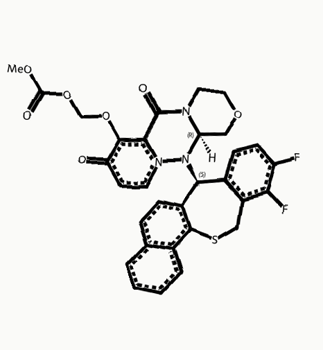 COC(=O)OCOc1c2n(ccc1=O)N([C@H]1c3ccc(F)c(F)c3CSc3c1ccc1ccccc31)[C@@H]1COCCN1C2=O